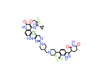 Cn1nc(C2CCC(=O)NC2=O)c2ccc(C3CCN(CC4CCN(c5ncc(Cl)c(Nc6ccc7c(c6)c6c(c(=O)n7C)OCC(F)(F)[C@H](C7CC7)N6)n5)CC4)CC3)c(C(F)(F)F)c21